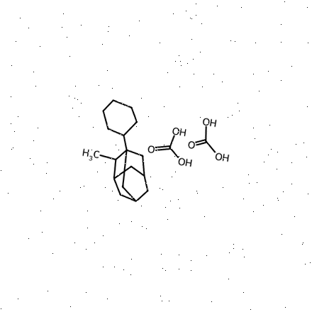 CC1C2CC3CC(C2)CC1(C1CCCCC1)C3.O=C(O)O.O=C(O)O